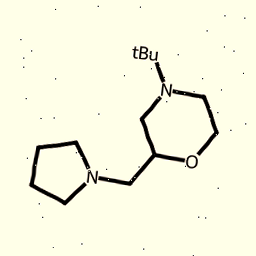 CC(C)(C)N1CCOC(CN2CCCC2)C1